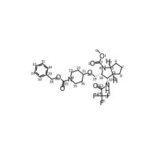 COC(=O)N1[C@@H]2CCC[C@@H]2[C@H](NC(=O)C(F)(F)F)[C@@H]1COC1CCN(C(=O)OCc2ccccc2)CC1